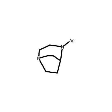 [CH2]C(=O)N1CCN2CCC1CC2